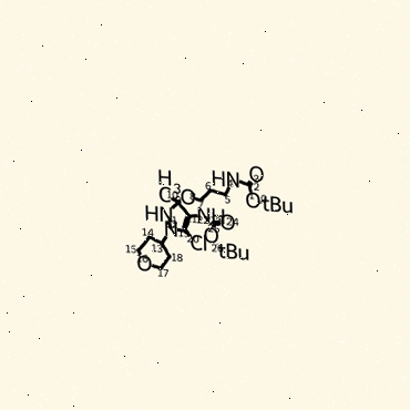 CC(C)(C)OC(=O)NCCCOC1(C)NN(C2CCOCC2)C(Cl)=C1NC(=O)OC(C)(C)C